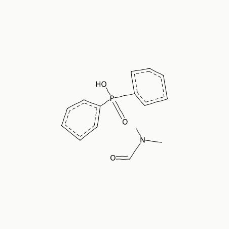 CN(C)C=O.O=P(O)(c1ccccc1)c1ccccc1